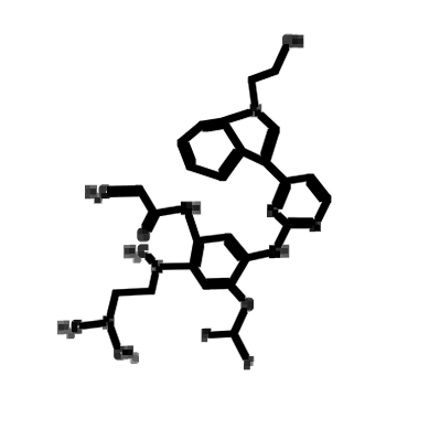 C=CC(=O)Nc1cc(Nc2nccc(-c3cn(CCO)c4ccccc34)n2)c(OC(F)F)cc1N(C)CCN(C)C